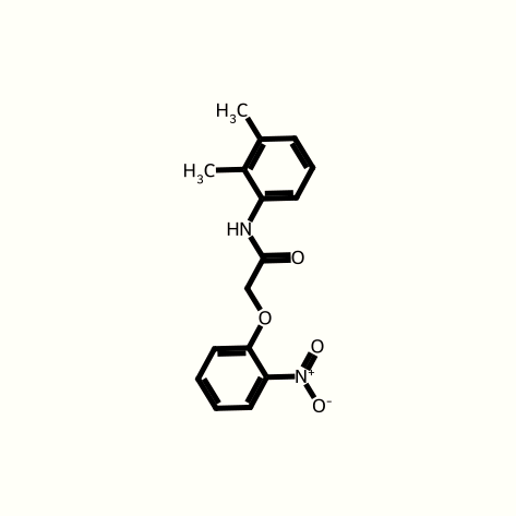 Cc1cccc(NC(=O)COc2ccccc2[N+](=O)[O-])c1C